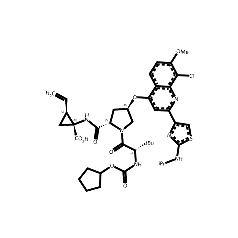 C=C[C@@H]1C[C@]1(NC(=O)[C@@H]1C[C@@H](Oc2cc(-c3csc(NC(C)C)n3)nc3c(Cl)c(OC)ccc23)CN1C(=O)[C@@H](NC(=O)OC1CCCC1)C(C)(C)C)C(=O)O